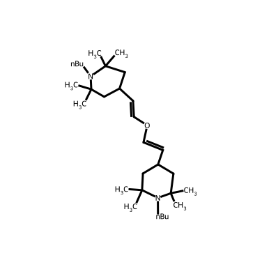 CCCCN1C(C)(C)CC(C=COC=CC2CC(C)(C)N(CCCC)C(C)(C)C2)CC1(C)C